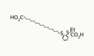 CCC(Sc1ccccc1SCCCCCCCCCCCCCCCCC(=O)O)C(=O)O